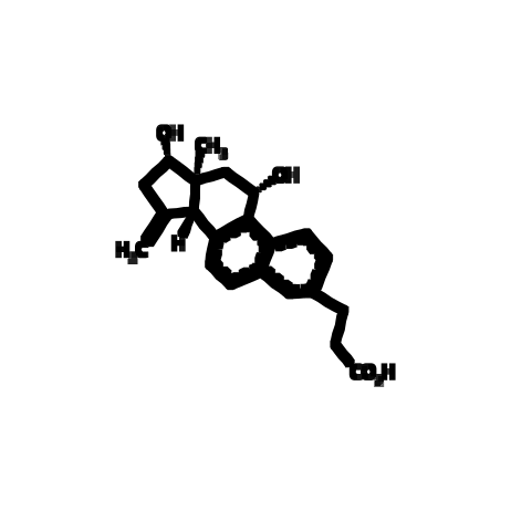 C=C1C[C@H](O)[C@@]2(C)C[C@H](O)c3c(ccc4cc(CCC(=O)O)ccc34)[C@H]12